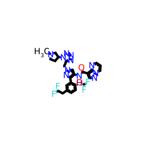 CN1CCC(n2nnnc2Cn2cc(NC(=O)c3cnn4cccnc34)c(-c3cc(CC(F)F)ccc3OC(F)F)n2)C1